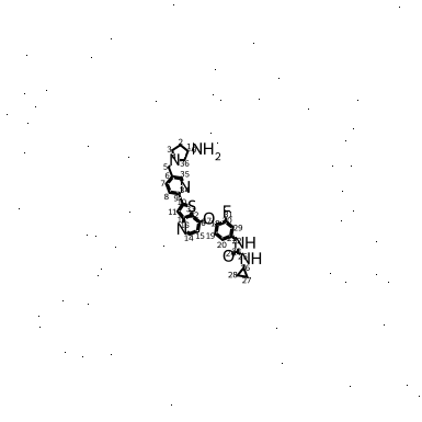 N[C@H]1CCN(Cc2ccc(-c3cc4nccc(Oc5ccc(NC(=O)NC6CC6)cc5F)c4s3)nc2)C1